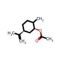 C=C(C)[C@H]1CCC(C)[C@@H](OC(C)=O)C1